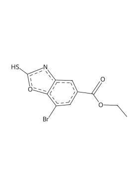 CCOC(=O)c1cc(Br)c2oc(S)nc2c1